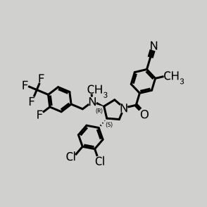 Cc1cc(C(=O)N2C[C@H](c3ccc(Cl)c(Cl)c3)[C@@H](N(C)Cc3ccc(C(F)(F)F)c(F)c3)C2)ccc1C#N